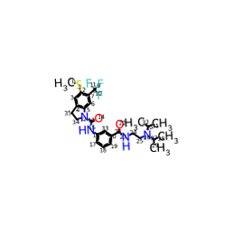 CSc1cc2c(cc1C(F)(F)F)N(C(=O)Nc1cccc(C(=O)NCCN(C(C)C)C(C)C)c1)CC2